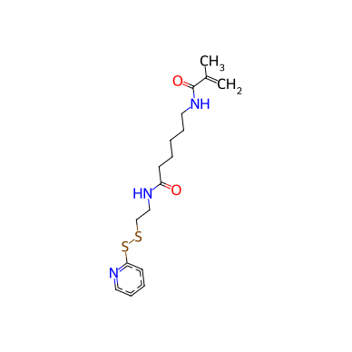 C=C(C)C(=O)NCCCCCC(=O)NCCSSc1ccccn1